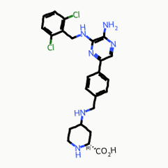 Nc1ncc(-c2ccc(CNC3CCN[C@@H](C(=O)O)C3)cc2)nc1NCc1c(Cl)cccc1Cl